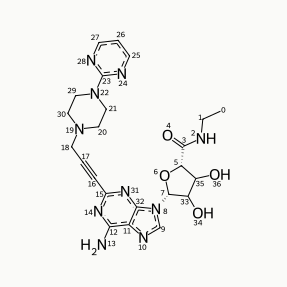 CCNC(=O)[C@H]1O[C@@H](n2cnc3c(N)nc(C#CCN4CCN(c5ncccn5)CC4)nc32)C(O)C1O